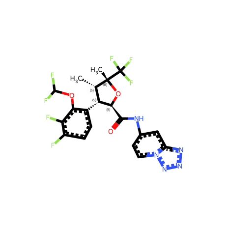 C[C@H]1[C@@H](c2ccc(F)c(F)c2OC(F)F)[C@H](C(=O)Nc2ccn3nnnc3c2)O[C@@]1(C)C(F)(F)F